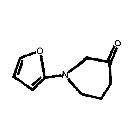 O=C1CCCN(c2ccco2)C1